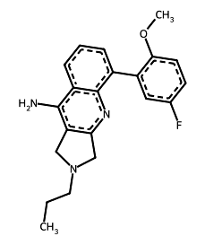 CCCN1Cc2nc3c(-c4cc(F)ccc4OC)cccc3c(N)c2C1